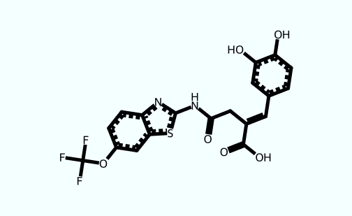 O=C(C/C(=C\c1ccc(O)c(O)c1)C(=O)O)Nc1nc2ccc(OC(F)(F)F)cc2s1